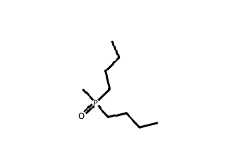 CCCCP(C)(=O)CCCC